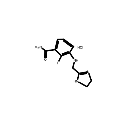 CNC(=O)c1cccc(NCC2=NCCN2)c1F.Cl